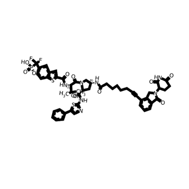 CC(C)(C)[C@H](NC(=O)c1cc2cc(C(F)(F)P(=O)(O)O)ccc2s1)C(=O)N1C[C@H](NC(=O)CCCCCC#Cc2cccc3c2CN(C2CCC(=O)NC2=O)C3=O)C[C@H]1C(=O)Nc1ncc(-c2ccccc2)s1